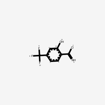 N=C(Cl)c1ccc(C(F)(F)F)cc1O